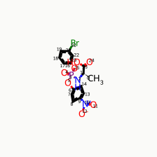 C[C@H](NP(=O)(Oc1ccc([N+](=O)[O-])cc1)Oc1cccc(Br)c1)C(=O)O